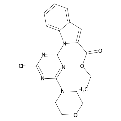 CCOC(=O)c1cc2ccccc2n1-c1nc(Cl)nc(N2CCOCC2)n1